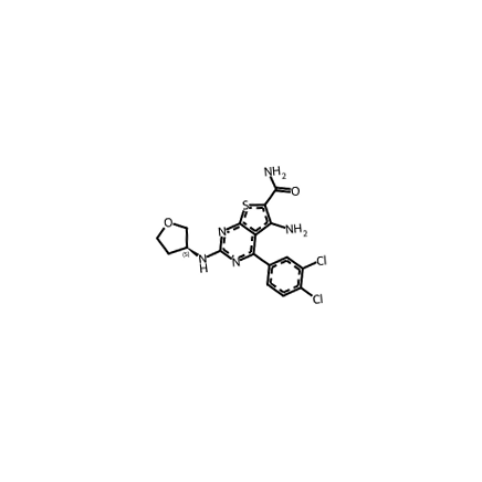 NC(=O)c1sc2nc(N[C@H]3CCOC3)nc(-c3ccc(Cl)c(Cl)c3)c2c1N